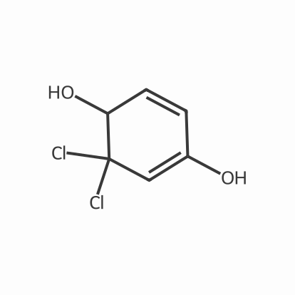 OC1=CC(Cl)(Cl)C(O)C=C1